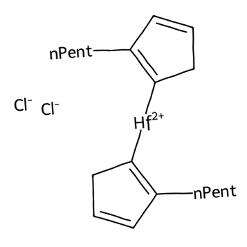 CCCCCC1=[C]([Hf+2][C]2=C(CCCCC)C=CC2)CC=C1.[Cl-].[Cl-]